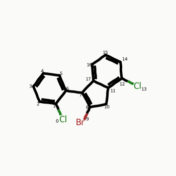 Clc1ccccc1C1=C(Br)Cc2c(Cl)cccc21